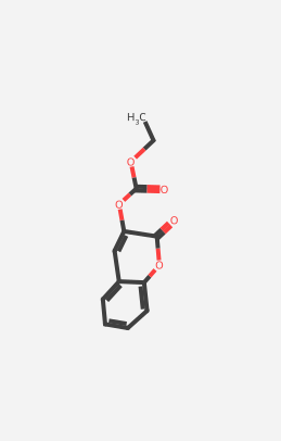 CCOC(=O)Oc1cc2ccccc2oc1=O